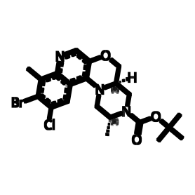 Cc1c(Br)c(Cl)cc2c3c(cnc12)OC[C@H]1CN(C(=O)OC(C)(C)C)[C@H](C)CN31